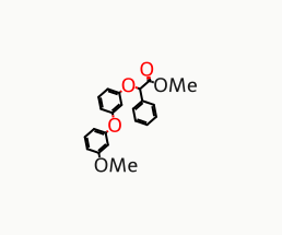 COC(=O)C(Oc1cccc(Oc2cccc(OC)c2)c1)c1ccccc1